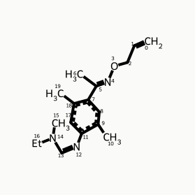 C=CCO/N=C(\C)c1cc(C)c(/N=C\N(C)CC)cc1C